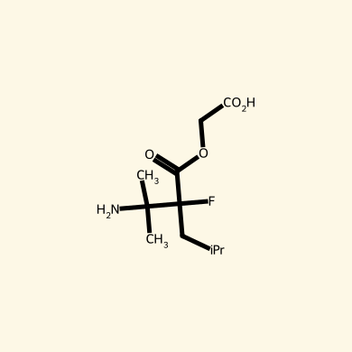 CC(C)CC(F)(C(=O)OCC(=O)O)C(C)(C)N